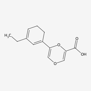 CCC1=CCCC(C2=COC=C(C(=O)O)O2)=C1